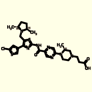 C[C@@H]1CN(CCC(=O)O)CCN1c1cnc(C(=O)Nc2nc(-c3csc(Cl)c3)c(CN3[C@H](C)CC[C@H]3C)s2)cn1